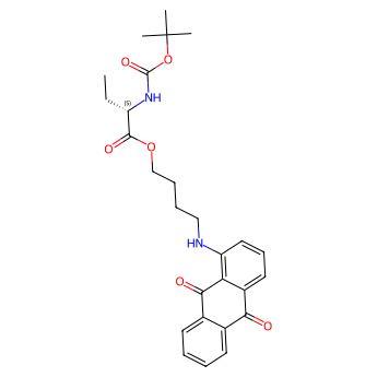 CC[C@H](NC(=O)OC(C)(C)C)C(=O)OCCCCNc1cccc2c1C(=O)c1ccccc1C2=O